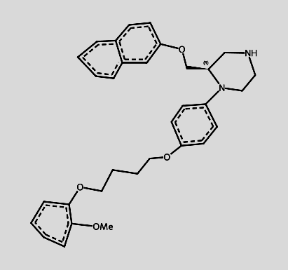 COc1ccccc1OCCCCOc1ccc(N2CCNC[C@@H]2COc2ccc3ccccc3c2)cc1